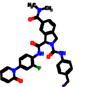 CN(C)C(=O)c1ccc2c(c1)C(C(=O)Nc1ccc(-n3ccccc3=O)cc1F)N(C(=O)Nc1ccc(CI)cc1)C2